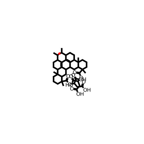 CC(C)C1CCC2C3=C1C1=C4C(CC5C(C)(C(=O)OC(CC(=O)O)C(=O)O)CCCC5(C)C4CCC1C(C)C)C3CC1C(C)(C(=O)OC(CC(=O)O)C(=O)O)CCCC21C